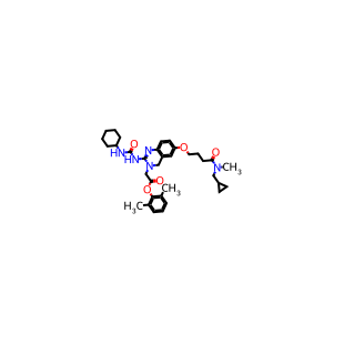 Cc1cccc(C)c1OC(=O)CN1Cc2cc(OCCCC(=O)N(C)CC3CC3)ccc2N=C1NC(=O)NC1CCCCC1